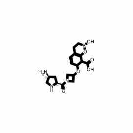 N[C@@H]1CN[C@H](C(=O)N2CC(OC3C=CC4=C(OB(O)CC4)C3C(=O)O)C2)C1